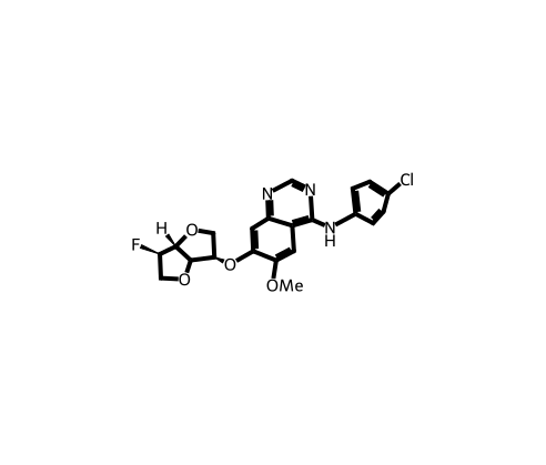 COc1cc2c(Nc3ccc(Cl)cc3)ncnc2cc1O[C@@H]1CO[C@@H]2C1OC[C@H]2F